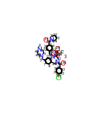 CN1CCN(Cc2ccc3c(c2)[N+](Cc2ccc(C(=O)N4CC=CC4)cc2)(OC(=O)C(F)(F)F)C(=O)CN(C(=O)c2ccc(Cl)cc2)C3)CC1